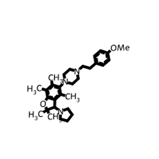 COc1ccc(CCN2CCN(c3c(C)c(C)c4c(c3C)C(N3CCCC3)C(C)(C)O4)CC2)cc1